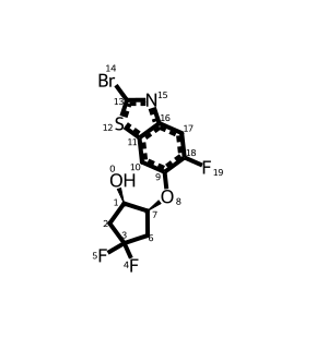 O[C@@H]1CC(F)(F)C[C@@H]1Oc1cc2sc(Br)nc2cc1F